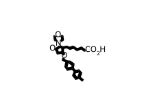 Cc1ccc(-c2ccc(COC3CC(=O)C(N4CCOCC4)C3CC=CCCCC(=O)O)cc2)cc1